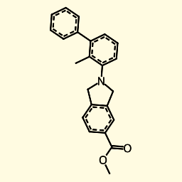 COC(=O)c1ccc2c(c1)CN(c1cccc(-c3ccccc3)c1C)C2